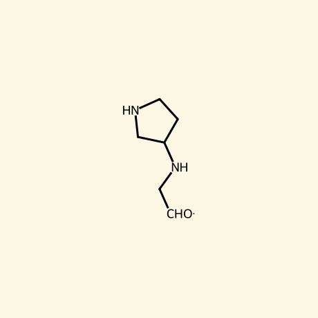 O=[C]CNC1CCNC1